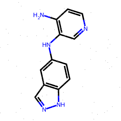 Nc1ccncc1Nc1ccc2[nH]ncc2c1